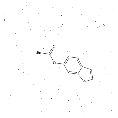 CC(C)(C)C(=O)Oc1ccc2ccsc2c1